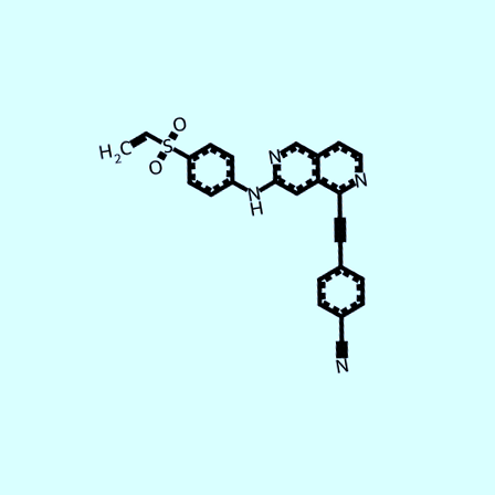 C=CS(=O)(=O)c1ccc(Nc2cc3c(C#Cc4ccc(C#N)cc4)nccc3cn2)cc1